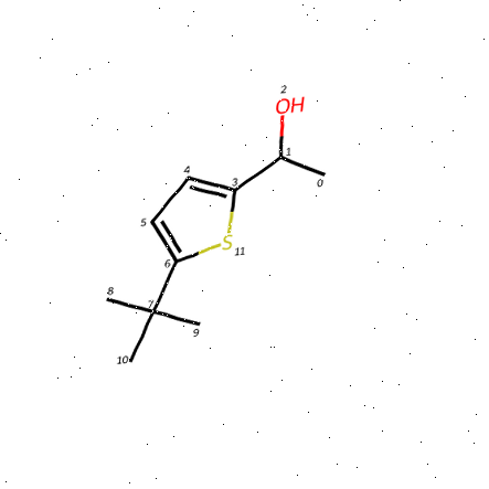 CC(O)c1ccc(C(C)(C)C)s1